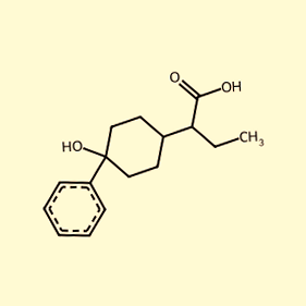 CCC(C(=O)O)C1CCC(O)(c2ccccc2)CC1